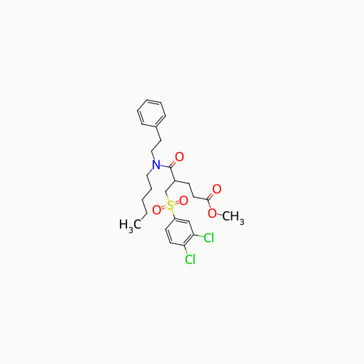 CCCCCN(CCc1ccccc1)C(=O)C(CCC(=O)OC)CS(=O)(=O)c1ccc(Cl)c(Cl)c1